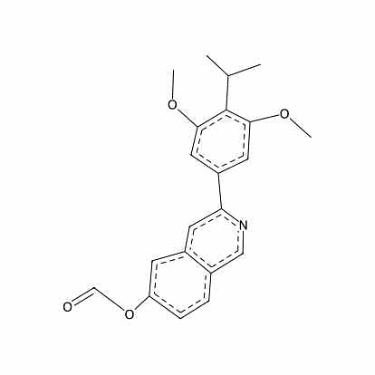 COc1cc(-c2cc3cc(OC=O)ccc3cn2)cc(OC)c1C(C)C